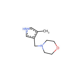 Cc1c[nH]cc1CN1CCOCC1